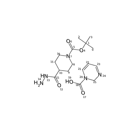 CC(C)(C)OC(=O)N1CCC(C(=O)NN)CC1.O=C(O)N1C=CC=NC1